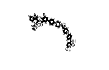 O=C1CC[C@H](Nc2ccc(N3CCC(F)(CC(=O)N4CCN(c5ccc(-c6cc(F)c7c(c6)C(=O)N(C(C(=O)Nc6nccs6)c6ncn8c6CCC8)C7)cc5)CC4)CC3)cc2)C(=O)N1